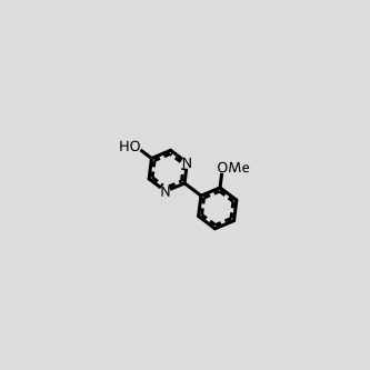 COc1ccccc1-c1ncc(O)cn1